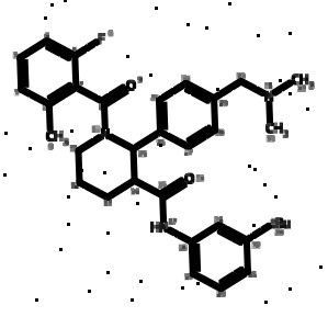 Cc1cccc(F)c1C(=O)N1CCCC(C(=O)Nc2cccc(C(C)(C)C)c2)C1c1ccc(CN(C)C)cc1